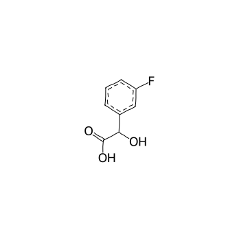 O=C(O)C(O)c1cccc(F)c1